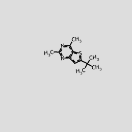 Cc1nc(C)c2sc(C(C)(C)C)cc2n1